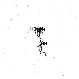 C[C@@H](O)[C@H](NC(=O)c1ccc(C#Cc2ccc(NC(=O)CNCc3cccc(C(F)(F)F)c3)cc2)cc1)C(=O)NO